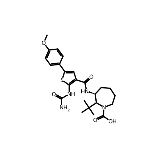 COc1ccc(-c2cc(C(=O)N[C@H]3CCCCN(C(=O)O)C3C(C)(C)C)c(NC(N)=O)s2)cc1